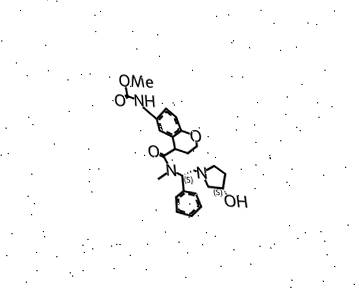 COC(=O)NCc1ccc2c(c1)C(C(=O)N(C)[C@H](CN1CC[C@H](O)C1)c1ccccc1)CCO2